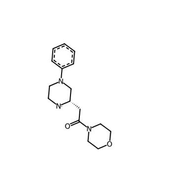 O=C(C[C@H]1CN(c2ccccc2)CC[N]1)N1CCOCC1